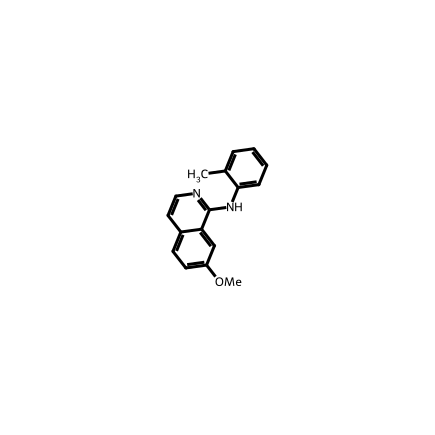 COc1ccc2ccnc(Nc3ccccc3C)c2c1